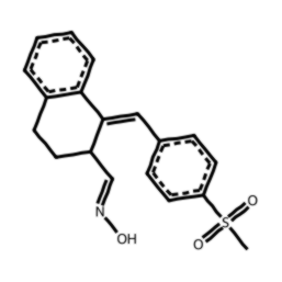 CS(=O)(=O)c1ccc(C=C2c3ccccc3CCC2C=NO)cc1